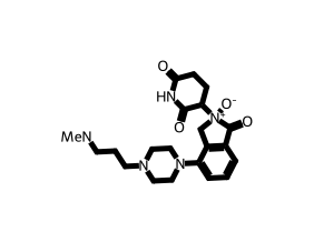 CNCCCN1CCN(c2cccc3c2C[N+]([O-])(C2CCC(=O)NC2=O)C3=O)CC1